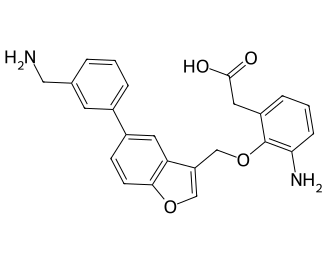 NCc1cccc(-c2ccc3occ(COc4c(N)cccc4CC(=O)O)c3c2)c1